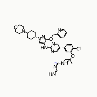 C[C@@H](CN/C=N\C=N)Oc1cc(-c2cnc(Nc3cn([C@H]4CC[C@H](N5CCOCC5)CC4)nc3OCc3ccccn3)nc2)ccc1Cl